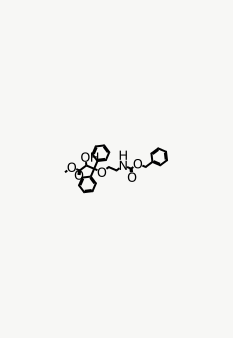 COC(=O)C(O)C(OCCNC(=O)OCc1ccccc1)(c1ccccc1)c1ccccc1